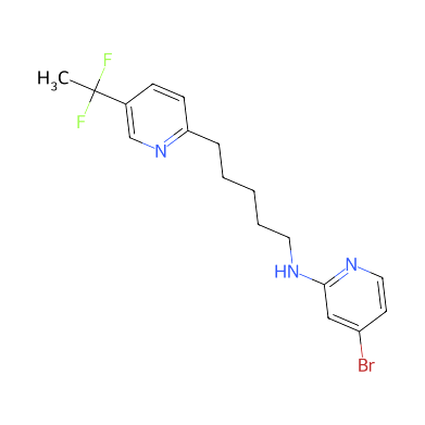 CC(F)(F)c1ccc(CCCCCNc2cc(Br)ccn2)nc1